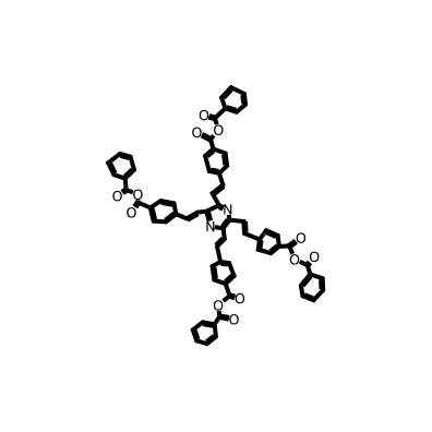 O=C(OC(=O)c1ccc(C=Cc2nc(C=Cc3ccc(C(=O)OC(=O)c4ccccc4)cc3)c(C=Cc3ccc(C(=O)OC(=O)c4ccccc4)cc3)nc2C=Cc2ccc(C(=O)OC(=O)c3ccccc3)cc2)cc1)c1ccccc1